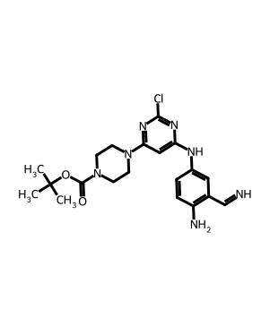 CC(C)(C)OC(=O)N1CCN(c2cc(Nc3ccc(N)c(C=N)c3)nc(Cl)n2)CC1